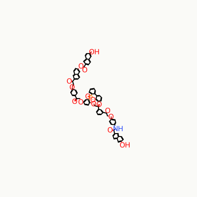 O=C(COc1ccc(OCC(=O)c2cccc(C(=O)COc3ccc(NC(=O)c4ccc5cc(O)ccc5c4)cc3)c2)c(P2(=O)Oc3ccccc3-c3ccccc32)c1)c1ccc(OCC(=O)c2ccc3cc(OC(=O)c4ccc5cc(O)ccc5c4)ccc3c2)cc1